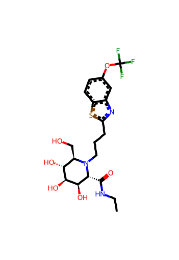 CCNC(=O)[C@@H]1[C@@H](O)[C@@H](O)[C@H](O)[C@@H](CO)N1CCCc1nc2cc(OC(F)(F)F)ccc2s1